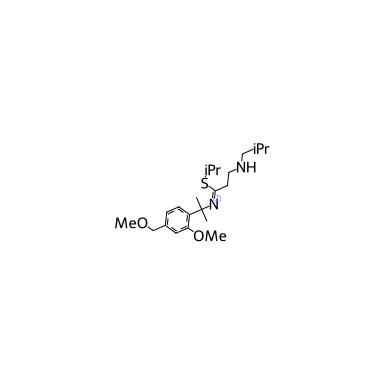 COCc1ccc(C(C)(C)/N=C(/CCNCC(C)C)SC(C)C)c(OC)c1